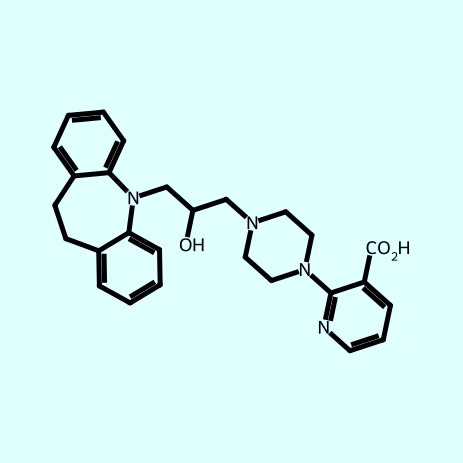 O=C(O)c1cccnc1N1CCN(CC(O)CN2c3ccccc3CCc3ccccc32)CC1